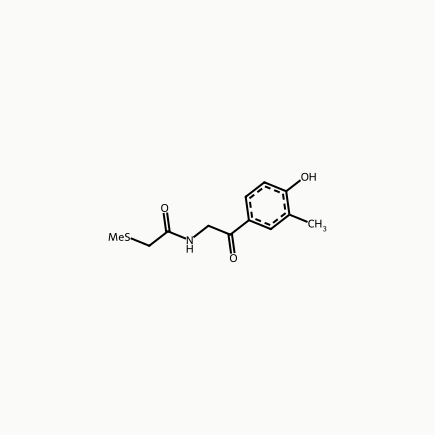 CSCC(=O)NCC(=O)c1ccc(O)c(C)c1